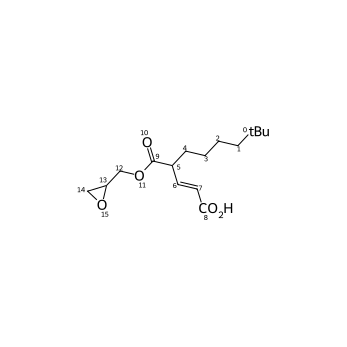 CC(C)(C)CCCCC(C=CC(=O)O)C(=O)OCC1CO1